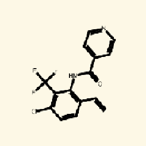 C=Cc1ccc(Cl)c(C(F)(F)F)c1NC(=O)c1ccncc1